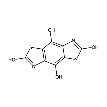 Oc1nc2c(O)c3sc(O)nc3c(O)c2s1